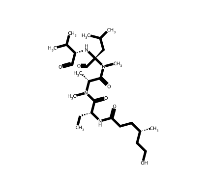 CC[C@@H](NC(=O)CC[C@H](C)CCO)C(=O)N(C)[C@H](C)C(=O)N(C)[C@@](C=O)(CC(C)C)N[C@H](C=O)C(C)C